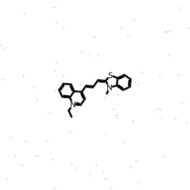 CC[n+]1ccc(/C=C/C=C2/Sc3ccccc3N2C)c2ccccc21